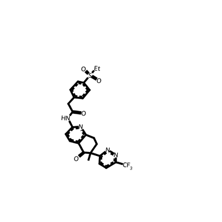 CCS(=O)(=O)c1ccc(CC(=O)Nc2ccc3c(n2)CCC(C)(c2ccc(C(F)(F)F)nn2)C3=O)cc1